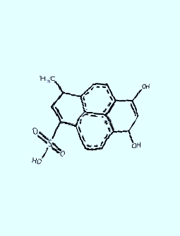 CC1C=C(S(=O)(=O)O)c2ccc3c4c(ccc1c24)C(O)=CC3O